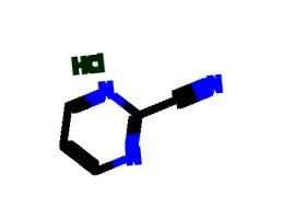 Cl.N#Cc1ncccn1